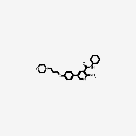 Nc1ncc(-c2ccc(OCCCN3CCOCC3)cc2)cc1C(=O)NC1CCCCC1